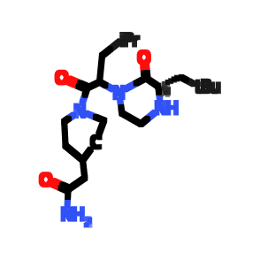 CC(C)CC(C(=O)N1CCC(CC(N)=O)CC1)N1CCN[C@@H](CC(C)(C)C)C1=O